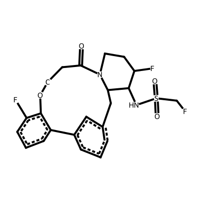 O=C1CCOc2c(F)cccc2-c2cccc(c2)CC2C(NS(=O)(=O)CF)C(F)CCN12